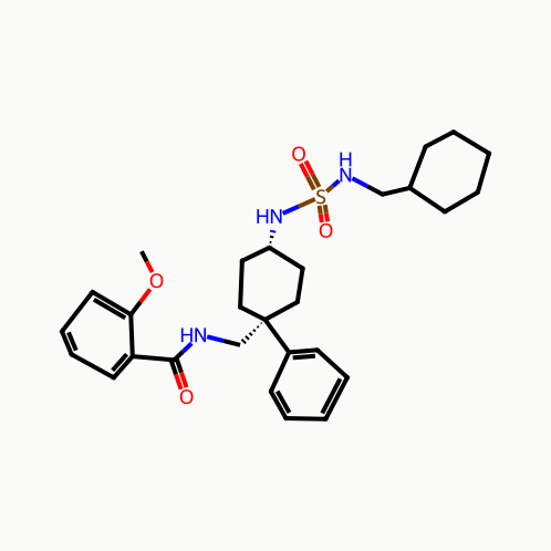 COc1ccccc1C(=O)NC[C@]1(c2ccccc2)CC[C@H](NS(=O)(=O)NCC2CCCCC2)CC1